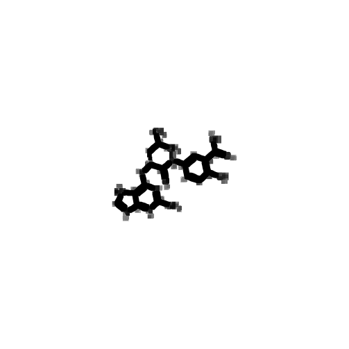 CC(C)C[C@@H](Sc1nc(N)nc2nc[nH]c12)C(=O)Nc1ccc(O)c(C(=O)O)c1